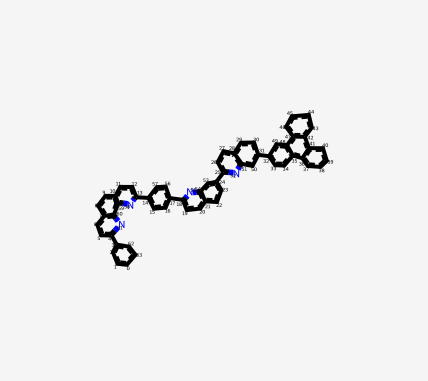 c1ccc(-c2ccc3ccc4ccc(-c5ccc(-c6ccc7ccc(-c8ccc9ccc(-c%10ccc%11c%12ccccc%12c%12ccccc%12c%11c%10)cc9n8)cc7n6)cc5)nc4c3n2)cc1